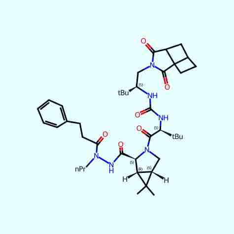 CCCN(NC(=O)[C@@H]1[C@@H]2[C@H](CN1C(=O)[C@@H](NC(=O)N[C@H](CN1C(=O)C3CC4CCC43C1=O)C(C)(C)C)C(C)(C)C)C2(C)C)C(=O)CCc1ccccc1